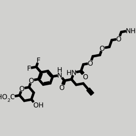 C#CCCC(NC(=O)COCCOCCOCN)C(=O)Nc1ccc(OC2CC(O)CC(C(=O)O)O2)c(C(F)F)c1